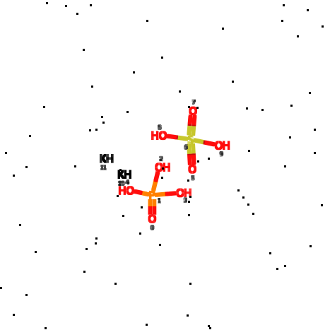 O=P(O)(O)O.O=S(=O)(O)O.[KH].[KH]